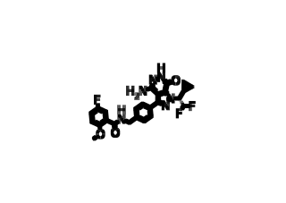 COc1ccc(F)cc1C(=O)NCc1ccc(-c2nn([C@@H](C(F)F)C3CC3)c3c(=O)[nH]nc(N)c23)cc1